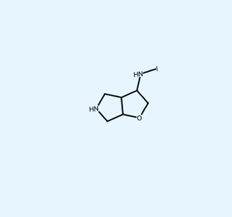 INC1COC2CNCC12